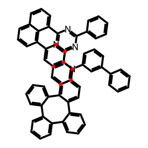 c1ccc(-c2cccc(N(c3ccc(-c4cccc5cccc(-c6nc(-c7ccccc7)nc(-c7ccccc7)n6)c45)cc3)c3ccc4c(c3)-c3ccccc3-c3ccccc3-c3ccccc3-4)c2)cc1